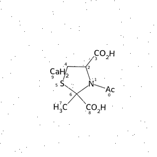 CC(=O)N1C(C(=O)O)CSC1(C)C(=O)O.[CaH2]